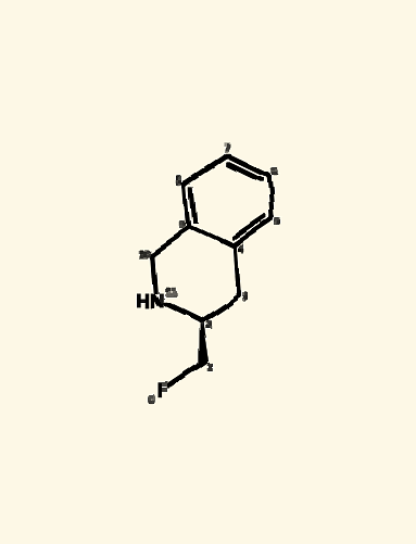 FC[C@@H]1Cc2ccccc2CN1